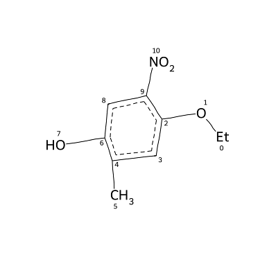 CCOc1cc(C)c(O)cc1[N+](=O)[O-]